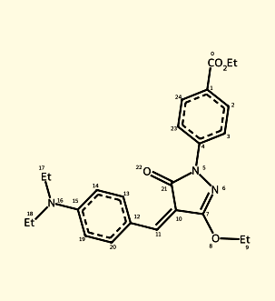 CCOC(=O)c1ccc(N2N=C(OCC)/C(=C/c3ccc(N(CC)CC)cc3)C2=O)cc1